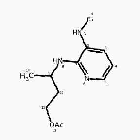 CCNc1cccnc1NC(C)CCOC(C)=O